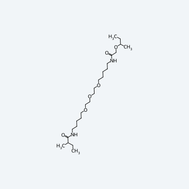 CCC(C)OCC(=O)NCCCCCOCCOCCOCCCCCNC(=O)C(C)CC